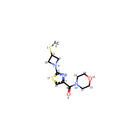 CC(=O)SC1CN(c2nc(C(=O)N3CCOCC3)cs2)C1